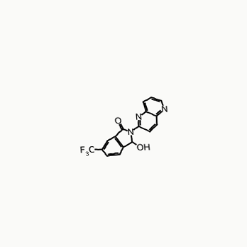 O=C1c2cc(C(F)(F)F)ccc2C(O)N1c1ccc2ncccc2n1